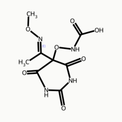 CO/N=C(\C)C1(ONC(=O)O)C(=O)NC(=O)NC1=O